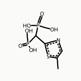 Cc1cnc(C(P(=O)(O)O)P(=O)(O)O)s1